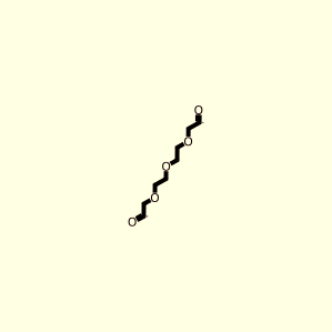 O=[C]COCCOCCOC[C]=O